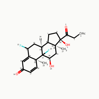 CC(=O)OCC(=O)[C@@]1(O)CCC2[C@@H]3CC(F)C4=CC(=O)C=C[C@]4(C)C3(F)[C@H](O)C[C@@]21C